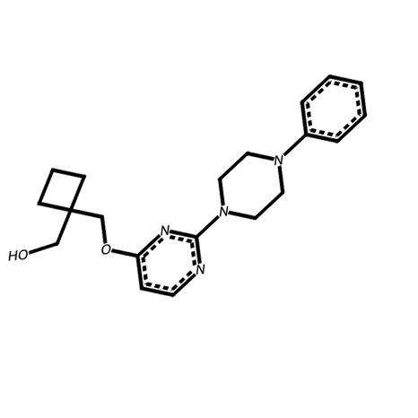 OCC1(COc2ccnc(N3CCN(c4ccccc4)CC3)n2)CCC1